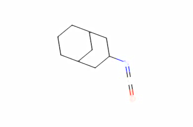 O=C=NC1CC2CCCC(C2)C1